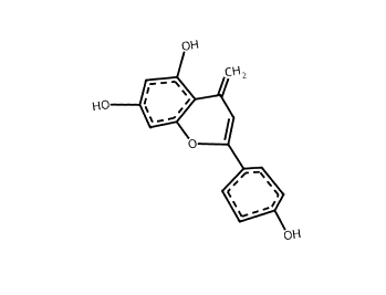 C=C1C=C(c2ccc(O)cc2)Oc2cc(O)cc(O)c21